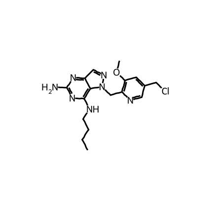 CCCCNc1nc(N)nc2cnn(Cc3ncc(CCl)cc3OC)c12